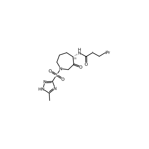 Cc1nc(S(=O)(=O)N2CCC[C@H](NC(=O)[CH]CC(C)C)C(=O)C2)n[nH]1